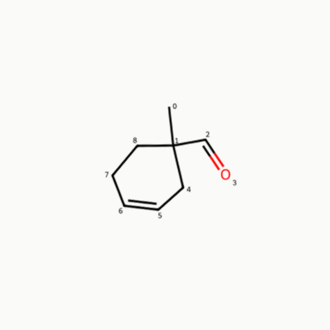 CC1(C=O)CC=CCC1